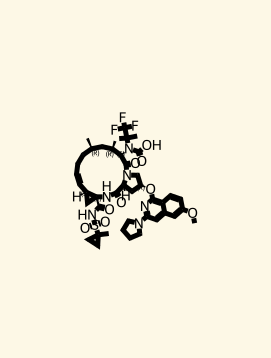 COc1ccc2c(O[C@@H]3C[C@H]4C(=O)N[C@]5(C(=O)NS(=O)(=O)C6(C)CC6)C[C@H]5C=CCC[C@@H](C)C[C@@H](C)[C@H](N(C(=O)O)C(C)(C)C(F)(F)F)C(=O)N4C3)nc(N3CCCC3)cc2c1